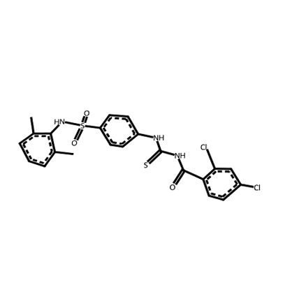 Cc1cccc(C)c1NS(=O)(=O)c1ccc(NC(=S)NC(=O)c2ccc(Cl)cc2Cl)cc1